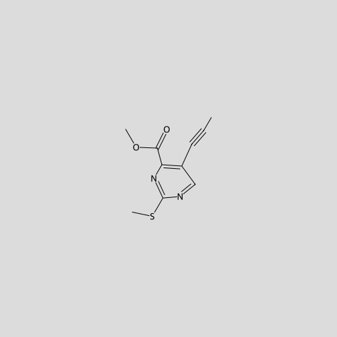 CC#Cc1cnc(SC)nc1C(=O)OC